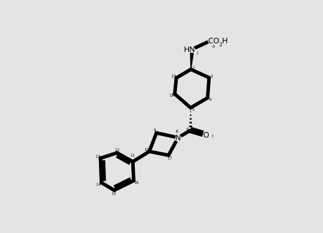 O=C(O)N[C@H]1CC[C@H](C(=O)N2CC(c3ccccc3)C2)CC1